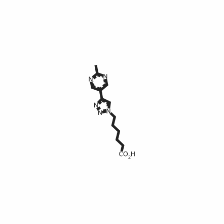 Cc1ncc(-c2cn(CCCCCC(=O)O)nn2)cn1